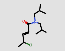 CC(Cl)/C=C/C(=O)N(CC(C)C)CC(C)C